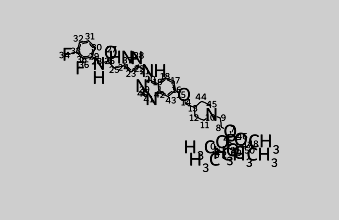 CC(C)(C)OP(=O)(OCCN1CCC(COc2ccc3c(Nc4cc(CC(=O)Nc5cccc(F)c5F)[nH]n4)ncnc3c2)CC1)OC(C)(C)C